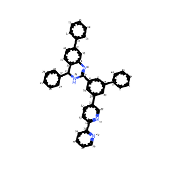 c1ccc(-c2cc(C3=Nc4cc(-c5ccccc5)ccc4C(c4ccccc4)N3)cc(-c3ccc(-c4ccccn4)nc3)c2)cc1